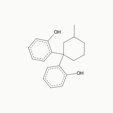 CC1CCCC(c2ccccc2O)(c2ccccc2O)C1